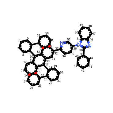 c1ccc(-c2ccccc2-c2c3ccccc3c(-c3ccccc3-c3ccccc3)c3cc(-c4ccc(-n5c(-c6ccccc6)nc6ccccc65)cn4)ccc23)cc1